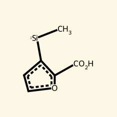 C[Si]c1ccoc1C(=O)O